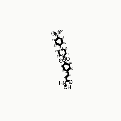 O=C(/C=C/c1ccc(S(=O)(=O)N2CCN(c3ccc([N+](=O)[O-])cc3)CC2)cc1)NO